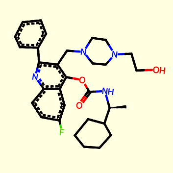 C[C@H](NC(=O)Oc1c(CN2CCN(CCO)CC2)c(-c2ccccc2)nc2ccc(F)cc12)C1CCCCC1